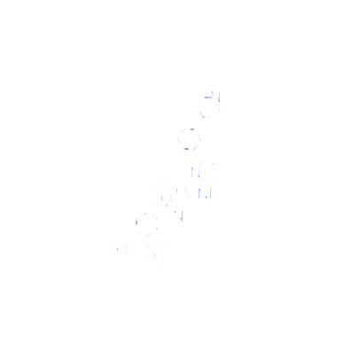 Cc1cc(-c2cccc(-c3csc(NC(=O)[C@@H]4CCCN4C(=O)c4ccc5c(c4)S(=O)(=O)CCOC5)n3)c2)cc(C)n1